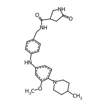 COc1cc(Nc2ccc(CNC(=O)C3CNC(=O)C3)cc2)ccc1N1CCC(C)CC1